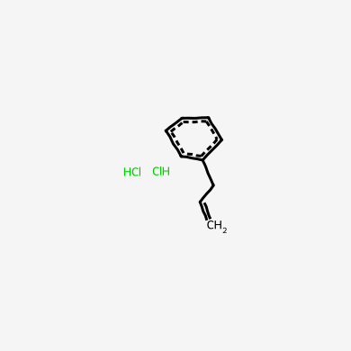 C=CCc1ccccc1.Cl.Cl